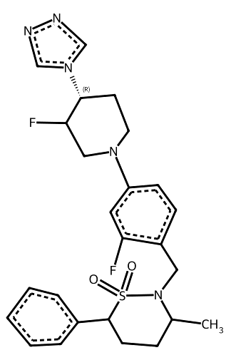 CC1CCC(c2ccccc2)S(=O)(=O)N1Cc1ccc(N2CC[C@@H](n3cnnc3)C(F)C2)cc1F